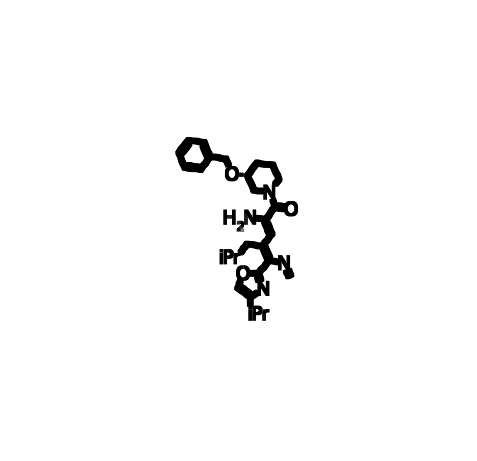 C=N/C(=C(\C=C(/N)C(=O)N1CCC[C@@H](OCc2ccccc2)C1)CC(C)C)c1nc(C(C)C)co1